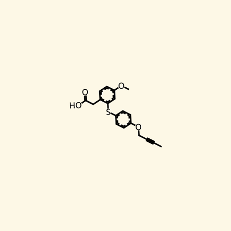 CC#CCOc1ccc(Sc2cc(OC)ccc2CC(=O)O)cc1